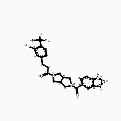 O=C(CCc1ccc(C(F)(F)F)c(F)c1)N1CC2CN(C(=O)c3ccc4[nH]nnc4c3)CC2C1